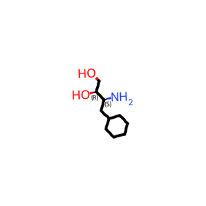 N[C@@H](CC1CCCCC1)[C@@H](O)CO